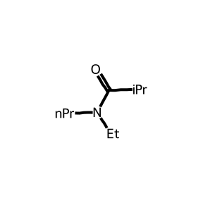 CCCN(CC)C(=O)C(C)C